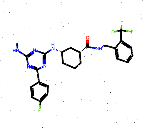 CNc1nc(N[C@H]2CCC[C@@H](C(=O)NCc3ccccc3C(F)(F)F)C2)nc(-c2ccc(F)cc2)n1